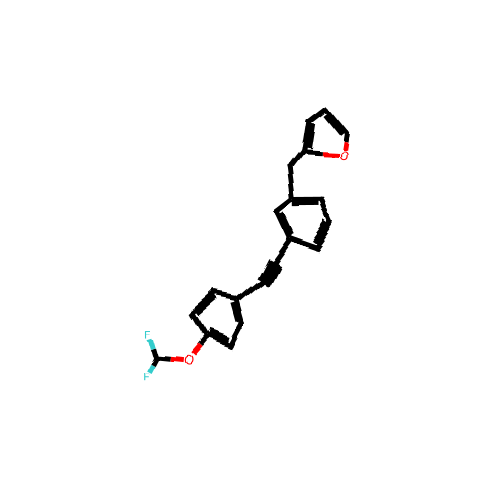 FC(F)Oc1ccc(C#Cc2cccc(Cc3ccco3)c2)cc1